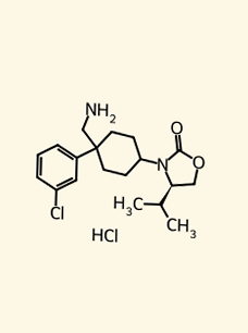 CC(C)[C@@H]1COC(=O)N1C1CCC(CN)(c2cccc(Cl)c2)CC1.Cl